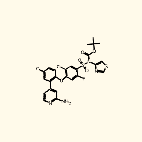 CC(C)(C)OC(=O)N(c1cscn1)S(=O)(=O)c1cc(Cl)c(Oc2ccc(F)cc2-c2ccnc(N)c2)cc1F